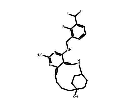 Cc1nc(NCc2cccc(C(F)F)c2F)c2/c(n1)=C\CCCC1(O)CCC(CC1)N/C=2